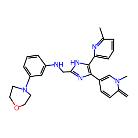 C=C1C=CC(c2nc(CNc3cccc(N4CCOCC4)c3)[nH]c2-c2cccc(C)n2)=CN1C